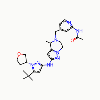 CC(=O)Nc1cc(CN2CCn3nc(Nc4cc(C(C)(C)C)n([C@@H]5CCOC5)n4)cc3C2C)ccn1